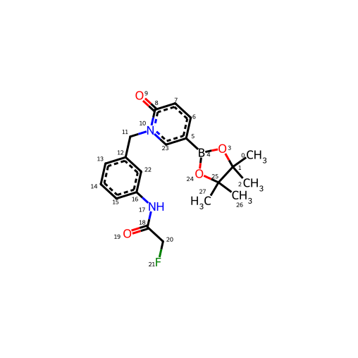 CC1(C)OB(c2ccc(=O)n(Cc3cccc(NC(=O)CF)c3)c2)OC1(C)C